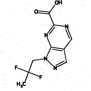 CC(F)(F)Cn1ncc2cnc(C(=O)O)nc21